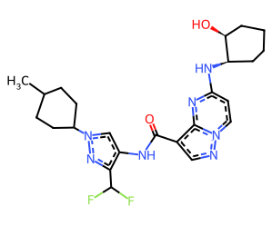 CC1CCC(n2cc(NC(=O)c3cnn4ccc(N[C@@H]5CCCC[C@@H]5O)nc34)c(C(F)F)n2)CC1